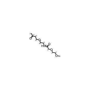 COCCOCC(=O)NCCOCCC(C)=O